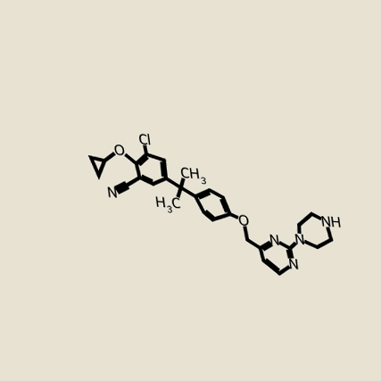 CC(C)(c1ccc(OCc2ccnc(N3CCNCC3)n2)cc1)c1cc(Cl)c(OC2CC2)c(C#N)c1